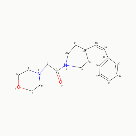 O=C(CN1CCOCC1)N1CCC(/C=C\c2ccccc2)CC1